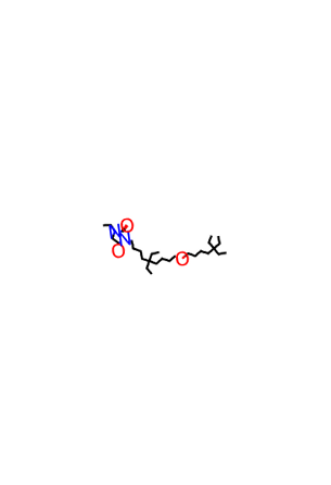 CCN1CC(=O)N(CCCCC(CC)(CC)CCCCOCCCCC(CC)(CC)CC)C1=O